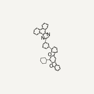 c1cc(-c2cnc3c4ccccc4c4ccccc4c3n2)cc(-c2cccc3c2oc2c(C4CCCCC4)c4oc5ccccc5c4cc23)c1